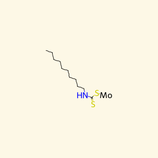 CCCCCCCCCCNC(=S)[S][Mo]